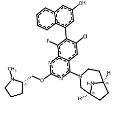 CN1CCC[C@H]1COc1nc(N2CC[C@H]3CC[C@@H](C2)N3)c2cc(Cl)c(-c3cc(O)cc4ccccc34)c(F)c2n1